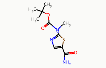 CN(C(=O)OC(C)(C)C)c1ncc(C(N)=O)s1